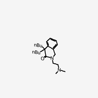 CCCCC1(CCCC)C(=O)N(CCN(C)C)Cc2ccccc21